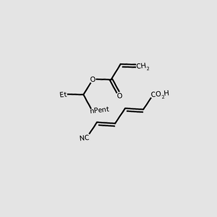 C=CC(=O)OC(CC)CCCCC.N#CC=CC=CC(=O)O